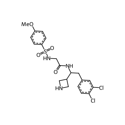 COc1ccc(S(=O)(=O)NCC(=O)NC(Cc2ccc(Cl)c(Cl)c2)C2CNC2)cc1